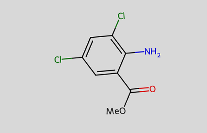 COC(=O)c1cc(Cl)cc(Cl)c1N